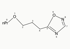 [CH2]CCOCCCc1ncno1